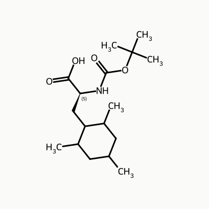 CC1CC(C)C(C[C@H](NC(=O)OC(C)(C)C)C(=O)O)C(C)C1